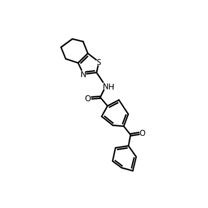 O=C(Nc1nc2c(s1)CCCC2)c1ccc(C(=O)c2ccccc2)cc1